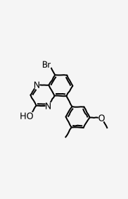 COc1cc(C)cc(-c2ccc(Br)c3ncc(O)nc23)c1